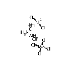 Cl.Cl.Cl.N.[AlH3].[Cl][Mo]([Cl])([Cl])[Cl].[Cl][Ni][Cl].[Cr]